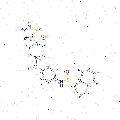 O=C(c1ccc(N[S+]([O-])c2cccc3nccnc23)cc1)N1CCC(O)(c2ccns2)CC1